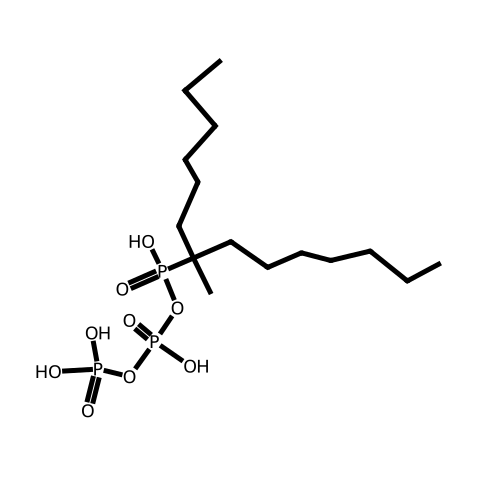 CCCCCCCC(C)(CCCCCC)P(=O)(O)OP(=O)(O)OP(=O)(O)O